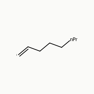 [C]=CCCCCCC